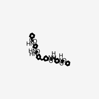 O=C(Nc1ccc(Cc2ccc(NC(=O)Nc3cccc(NC(=O)Oc4ccccc4)c3)cc2)cc1)Nc1cccc(NC(=O)Oc2ccccc2)c1